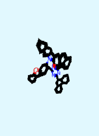 c1ccc2cc3c(cc2c1)c1ccccc1n3-c1cc2oc3ccccc3c2cc1-c1nc(-c2cccc3ccccc23)nc(-c2cc3ccccc3c3ccccc23)n1